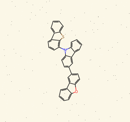 c1ccc2c(c1)oc1ccc(-c3ccc4c(c3)c3ccccc3n4-c3cccc4c3sc3ccccc34)cc12